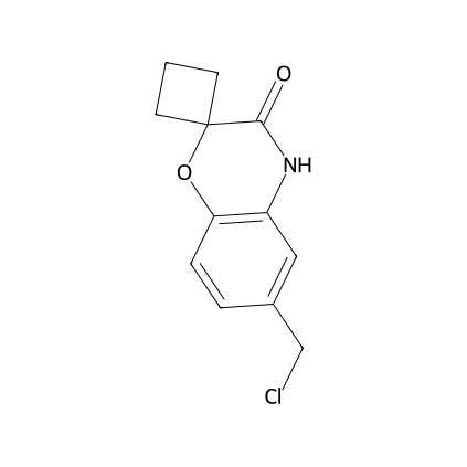 O=C1Nc2cc(CCl)ccc2OC12CCC2